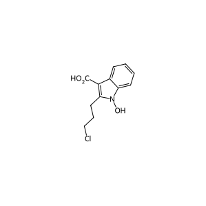 O=C(O)c1c(CCCCl)n(O)c2ccccc12